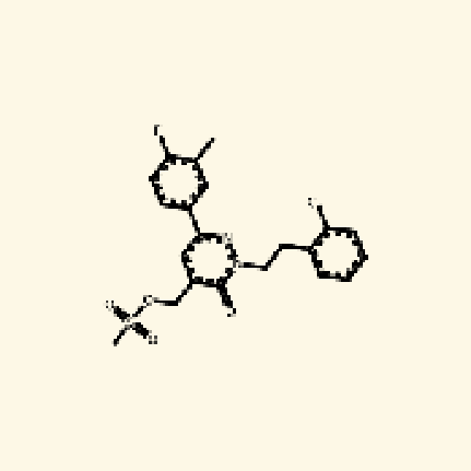 Cc1cc(-c2cc(COS(C)(=O)=O)c(=O)n(CCc3ccccc3Cl)n2)ccc1F